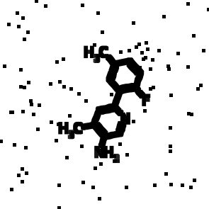 Cc1ccc(F)c(-c2cc(C)c(N)cn2)c1